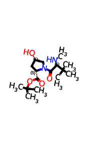 CN[C@H](C(=O)N1C[C@@H](O)C[C@H]1C(=O)OC(C)(C)C)C(C)(C)C